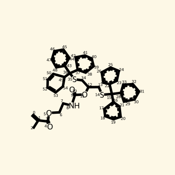 C=C(C)C(=O)OCCNC(=O)OC(CSC(c1ccccc1)(c1ccccc1)c1ccccc1)CSC(c1ccccc1)(c1ccccc1)C1C=CC=CC1